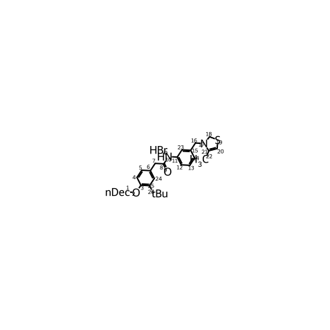 Br.CCCCCCCCCCOc1ccc(CC(=O)Nc2cccc(CN3CSC=C3C)c2)cc1C(C)(C)C